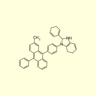 Cc1ccc2c(-c3ccccc3)c3ccccc3c(-c3ccc(N4C5=C(C=CCC5)NC4C4=CCCC=C4)cc3)c2c1